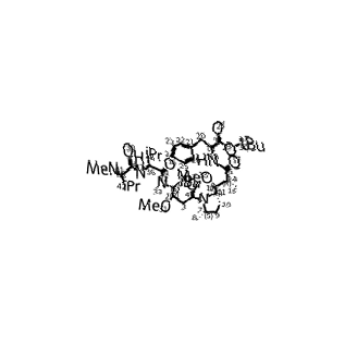 CC[C@H](C)[C@@H]([C@@H](CC(=O)N1[C@@H](C)CC[C@H]1[C@H](OC)[C@@H](C)C(=O)NC(Cc1ccccc1)C(=O)OC(C)(C)C)OC)N(C)C(=O)C(NC(=O)C(NC)C(C)C)C(C)C